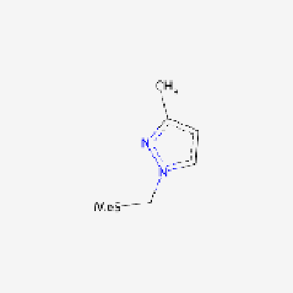 CSCn1ccc(C)n1